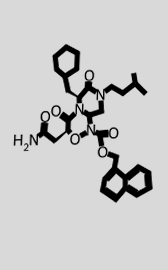 CC(C)CCN1CC2N(C(=O)OCc3cccc4ccccc34)O[C@@H](CC(N)=O)C(=O)N2[C@@H](CC2CCCCC2)C1=O